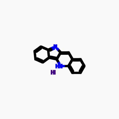 I.c1ccc2[nH]c3c4ccccc4nc-3cc2c1